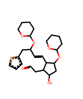 O=CCC1C(O)CC(OC2CCCCO2)C1C=CC(Cc1cccs1)OC1CCCCO1